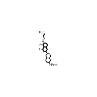 CC=CCOc1ccc2cc(C3CCC4CC(CCCCC)CCC4C3)cc(F)c2c1F